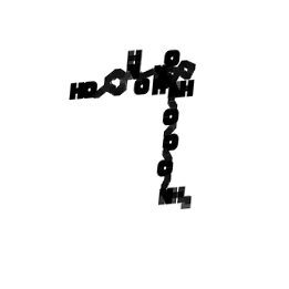 NCCOCCOCCOCCNC(=O)C1(C(=O)NCC(=O)Nc2ccc(CO)cc2)CCC1